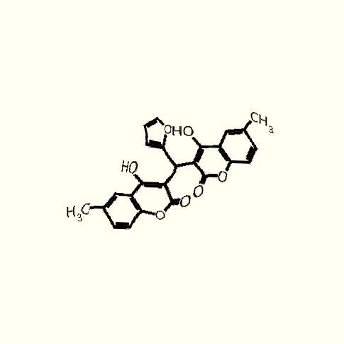 Cc1ccc2oc(=O)c(C(c3ccco3)c3c(O)c4cc(C)ccc4oc3=O)c(O)c2c1